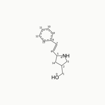 OCC1CNC(C=Cc2ccccc2)C1